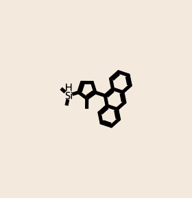 CC1=C(c2c3ccccc3cc3ccccc23)CC=C1[SiH](C)C